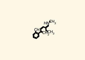 C=C(/C=C\C(=C/NC)CC)c1ccccc1C